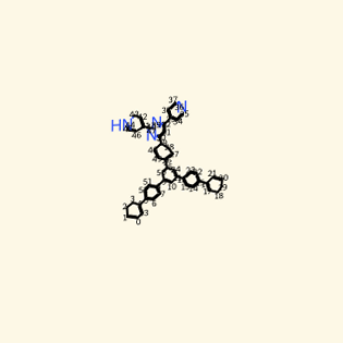 C1=CCCC(c2ccc(C3=CC(c4ccc(C5=CCCC=C5)cc4)=CC(C4=CCC(c5cc(-c6ccncc6)nc(C6=CCNC=C6)n5)C=C4)C3)cc2)=C1